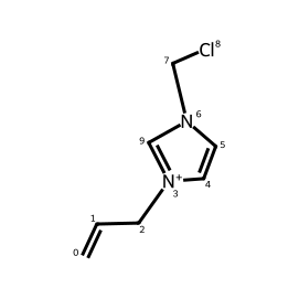 C=CC[n+]1ccn(CCl)c1